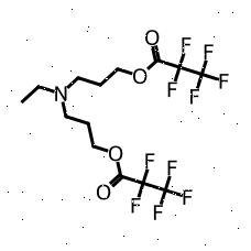 CCN(CCCOC(=O)C(F)(F)C(F)(F)F)CCCOC(=O)C(F)(F)C(F)(F)F